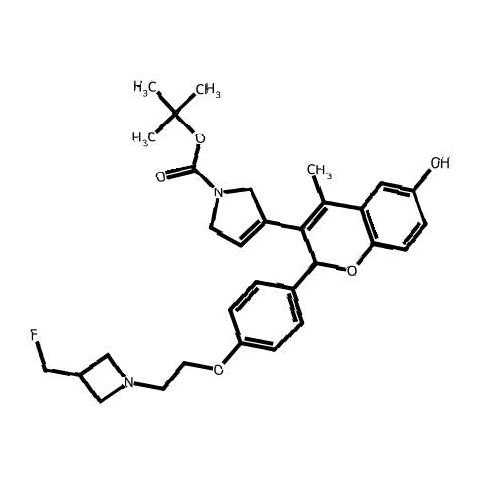 CC1=C(C2=CCN(C(=O)OC(C)(C)C)C2)C(c2ccc(OCCN3CC(CF)C3)cc2)Oc2ccc(O)cc21